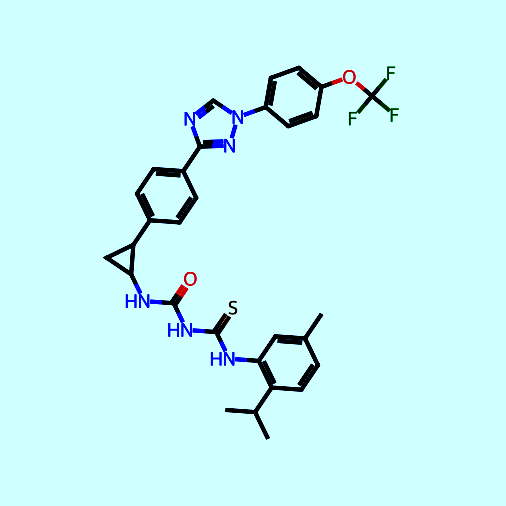 Cc1ccc(C(C)C)c(NC(=S)NC(=O)NC2CC2c2ccc(-c3ncn(-c4ccc(OC(F)(F)F)cc4)n3)cc2)c1